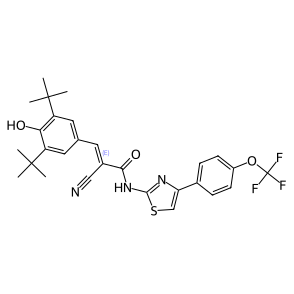 CC(C)(C)c1cc(/C=C(\C#N)C(=O)Nc2nc(-c3ccc(OC(F)(F)F)cc3)cs2)cc(C(C)(C)C)c1O